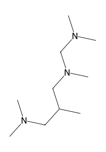 CC(CN(C)C)CN(C)CN(C)C